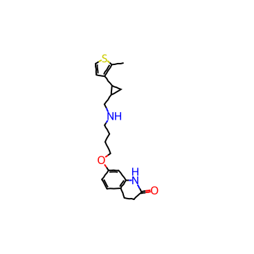 Cc1sccc1C1CC1CNCCCCOc1ccc2c(c1)NC(=O)CC2